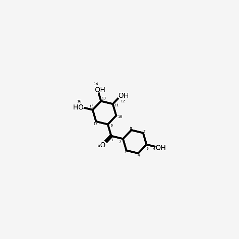 O=C(C1CCC(O)CC1)C1CC(O)C(O)C(O)C1